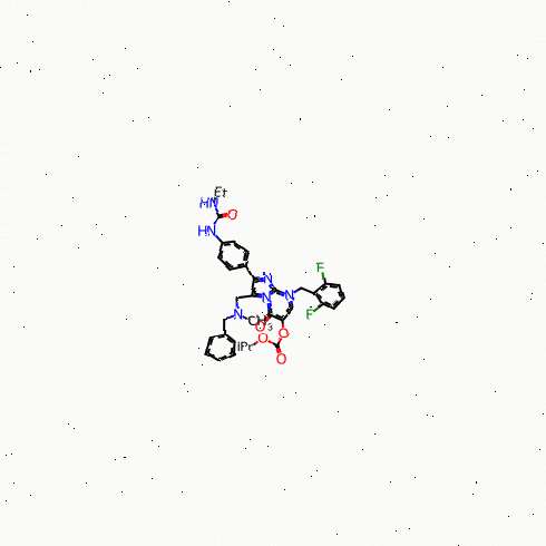 CCNC(=O)Nc1ccc(-c2nc3n(Cc4c(F)cccc4F)cc(OC(=O)OC(C)C)c(=O)n3c2CN(C)Cc2ccccc2)cc1